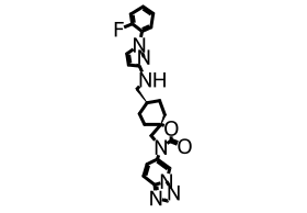 O=C1O[C@]2(CC[C@H](CNc3ccn(-c4ccccc4F)n3)CC2)CN1c1ccc2ncnn2c1